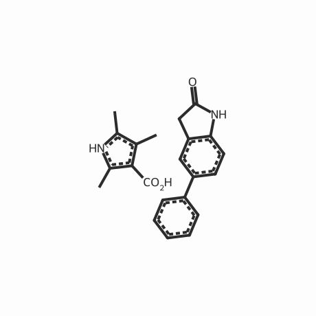 Cc1[nH]c(C)c(C(=O)O)c1C.O=C1Cc2cc(-c3ccccc3)ccc2N1